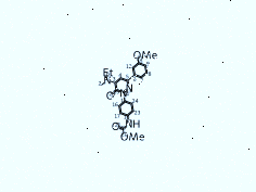 CCN(C)c1cc(-c2cccc(OC)c2)nn(-c2ccc(NC(=O)OC)cc2)c1=O